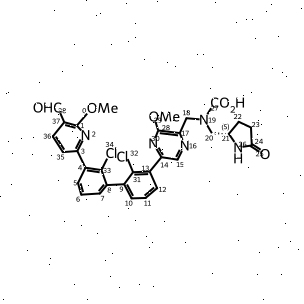 COc1nc(-c2cccc(-c3cccc(-c4cnc(CN(C[C@@H]5CCC(=O)N5)C(=O)O)c(OC)n4)c3Cl)c2Cl)ccc1C=O